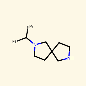 CCCC(CC)N1CCC2(CCNC2)C1